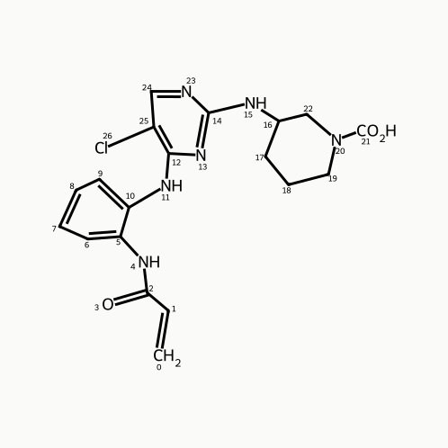 C=CC(=O)Nc1ccccc1Nc1nc(NC2CCCN(C(=O)O)C2)ncc1Cl